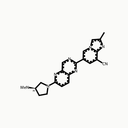 CN[C@@H]1CCN(c2ccc3nc(-c4cc(C#N)c5nc(C)cn5c4)ncc3n2)C1